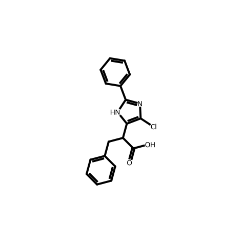 O=C(O)C(Cc1ccccc1)c1[nH]c(-c2ccccc2)nc1Cl